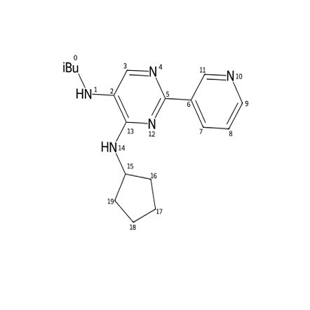 CCC(C)Nc1cnc(-c2cccnc2)nc1NC1CCCC1